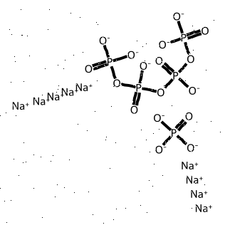 O=P([O-])([O-])OP(=O)([O-])OP(=O)([O-])OP(=O)([O-])[O-].O=P([O-])([O-])[O-].[Na+].[Na+].[Na+].[Na+].[Na+].[Na+].[Na+].[Na+].[Na+]